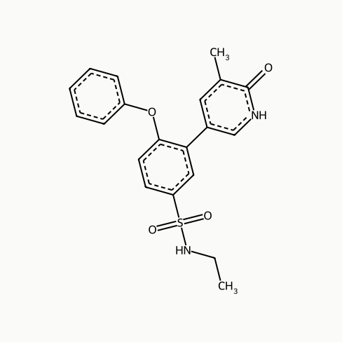 CCNS(=O)(=O)c1ccc(Oc2ccccc2)c(-c2c[nH]c(=O)c(C)c2)c1